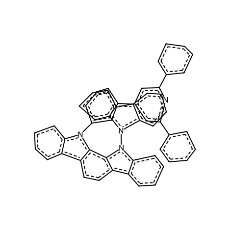 c1ccc(-c2cc(-c3cccc(-n4c5ccccc5c5ccc6c7ccccc7n(-n7c8ccccc8c8ccccc87)c6c54)c3)cc(-c3ccccc3)n2)cc1